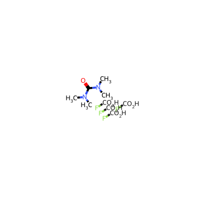 CN(C)C(=O)N(C)C.O=C(O)F.O=C(O)F.O=C(O)F.O=C(O)F